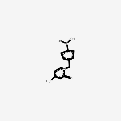 Cc1ccn(Cc2ccc(B(O)O)cc2)c(=O)c1